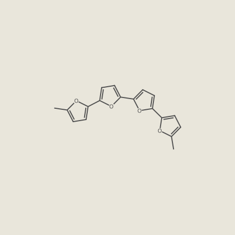 Cc1ccc(-c2ccc(-c3ccc(-c4ccc(C)o4)o3)o2)o1